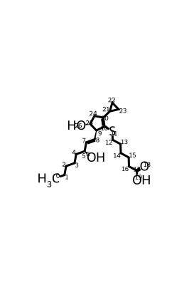 CCCCC[C@H](O)C=C[C@@H]1C(SCCCCCC(=O)O)=C(C2CC2)C[C@H]1O